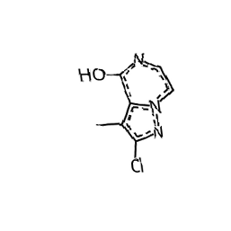 Cc1c(Cl)nn2ccnc(O)c12